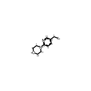 ICc1ccc(N2CCOCC2)nc1